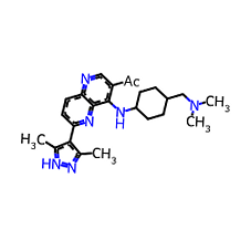 CC(=O)c1cnc2ccc(-c3c(C)n[nH]c3C)nc2c1NC1CCC(CN(C)C)CC1